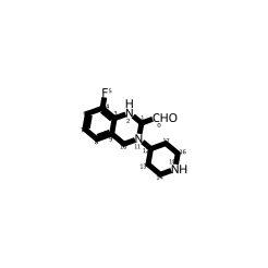 O=CC1Nc2c(F)cccc2CN1C1CCNCC1